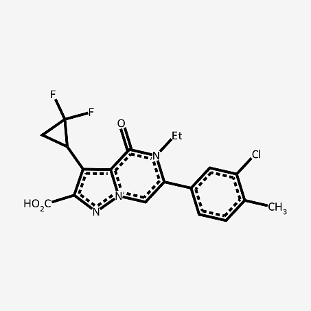 CCn1c(-c2ccc(C)c(Cl)c2)cn2nc(C(=O)O)c(C3CC3(F)F)c2c1=O